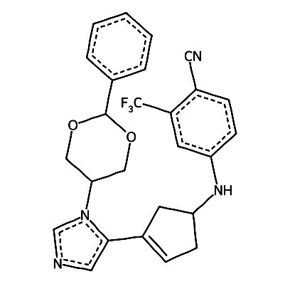 N#Cc1ccc(NC2CC=C(c3cncn3C3COC(c4ccccc4)OC3)C2)cc1C(F)(F)F